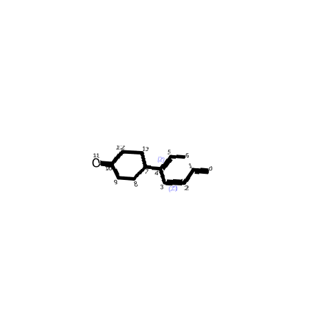 C=C/C=C\C(=C/C)C1CCC(=O)CC1